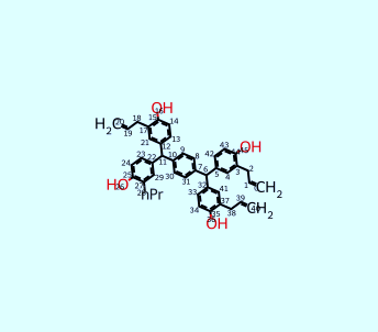 C=CCc1cc(C(c2ccc(C(c3ccc(O)c(CC=C)c3)c3ccc(O)c(CCC)c3)cc2)c2ccc(O)c(CC=C)c2)ccc1O